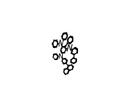 c1ccc(-c2cccc(-n3c4ccccc4c4c(N(c5ccccc5)c5ccccc5)cc(N(c5ccccc5)c5ccc(-c6cccc7ccccc67)cc5)cc43)c2)cc1